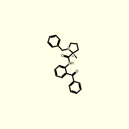 C[C@]1(C(=O)Nc2ccccc2C(=O)c2ccccc2)CCCN1Cc1ccccc1